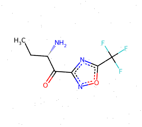 CC[C@H](N)C(=O)c1noc(C(F)(F)F)n1